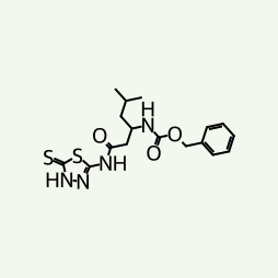 CC(C)CC(CC(=O)Nc1n[nH]c(=S)s1)NC(=O)OCc1ccccc1